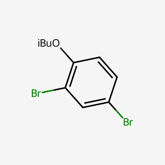 C[C](C)COc1ccc(Br)cc1Br